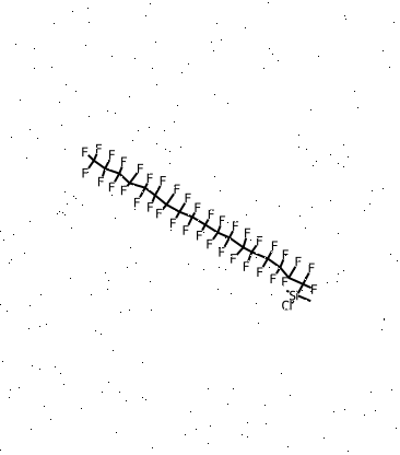 C[Si](C)(Cl)C(F)(F)C(F)(F)C(F)(F)C(F)(F)C(F)(F)C(F)(F)C(F)(F)C(F)(F)C(F)(F)C(F)(F)C(F)(F)C(F)(F)C(F)(F)C(F)(F)C(F)(F)C(F)(F)C(F)(F)C(F)(F)F